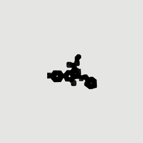 CCOC(=O)c1sc(SCc2ccccc2)c2c1CC(c1ccc(F)cc1)CC2=O